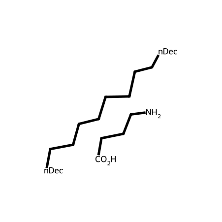 CCCCCCCCCCCCCCCCCCCCCCCCCCCC.NCCCC(=O)O